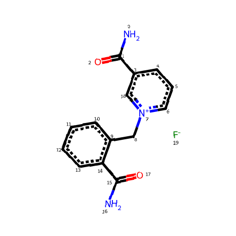 NC(=O)c1ccc[n+](Cc2ccccc2C(N)=O)c1.[F-]